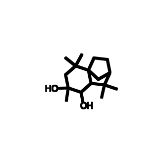 CC1(O)CC(C)(C)C23CCC(C2)C(C)(C)C3C1O